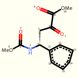 COC(=O)N[C@H](CC(=O)C(=O)OC)c1ccccc1